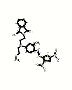 COCCN(CCN1C(=O)c2ccccc2C1=O)c1ccc(/N=N/c2sc([N+](=O)[O-])cc2[N+](=O)[O-])c(C)c1